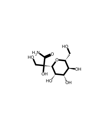 NC(=O)C(O)(CO)[C@@H]1O[C@H](CO)[C@@H](O)[C@H](O)[C@@H]1O